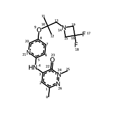 Cc1cc(Nc2ccc(OC(C)(C)CN3CC(F)(F)C3)cn2)c(=O)n(C)n1